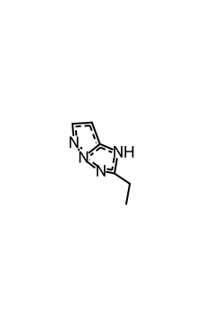 CCc1nn2nccc2[nH]1